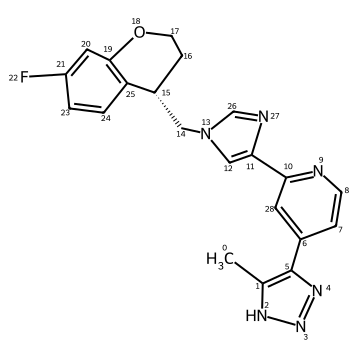 Cc1[nH]nnc1-c1ccnc(-c2cn(C[C@H]3CCOc4cc(F)ccc43)cn2)c1